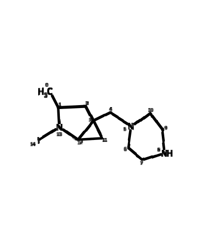 CC1CC2(CN3CCNCC3)CC2N1I